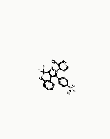 CS(=O)(=O)c1ccc(-c2c(-c3ccccc3Cl)c(C(F)(F)F)nn2-c2ccccc2Cl)cc1